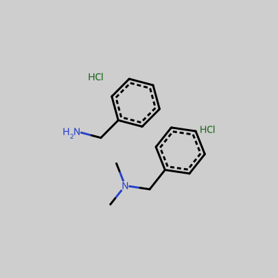 CN(C)Cc1ccccc1.Cl.Cl.NCc1ccccc1